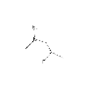 CCN(C)CC(C)F